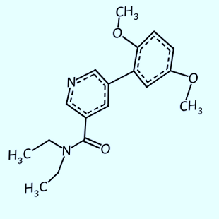 CCN(CC)C(=O)c1cncc(-c2cc(OC)ccc2OC)c1